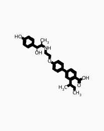 CCC(C)c1cc(-c2ccc(OCCN[C@H](C)[C@H](O)c3ccc(O)cc3)cc2)ccc1C(=O)O